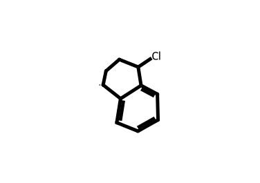 ClC1CC[CH]c2ccccc21